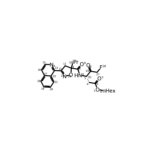 CCCCCCOC(=O)C[C@H](NC(=O)C1(C(C)C)CC(c2nccc3ccccc23)=NO1)C(=O)CF